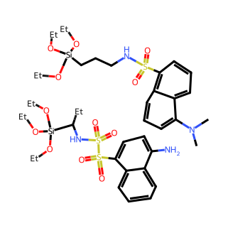 CCO[Si](CCCNS(=O)(=O)c1cccc2c(N(C)C)cccc12)(OCC)OCC.CCO[Si](OCC)(OCC)C(CC)NS(=O)(=O)S(=O)(=O)c1ccc(N)c2ccccc12